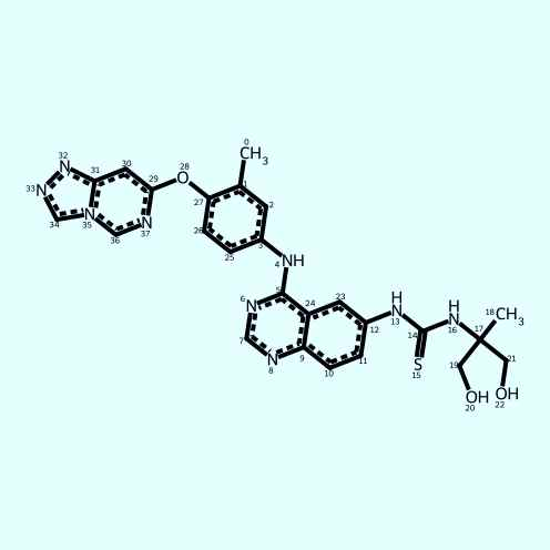 Cc1cc(Nc2ncnc3ccc(NC(=S)NC(C)(CO)CO)cc23)ccc1Oc1cc2nncn2cn1